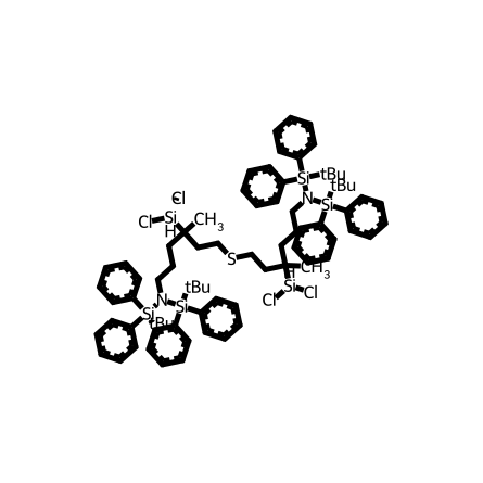 CC(CCCN([Si](c1ccccc1)(c1ccccc1)C(C)(C)C)[Si](c1ccccc1)(c1ccccc1)C(C)(C)C)(CCSCCC(C)(CCCN([Si](c1ccccc1)(c1ccccc1)C(C)(C)C)[Si](c1ccccc1)(c1ccccc1)C(C)(C)C)[SiH](Cl)Cl)[SiH](Cl)Cl